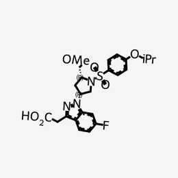 COC[C@H]1C[C@@H](n2nc(CC(=O)O)c3ccc(F)cc32)CN1S(=O)(=O)c1ccc(OC(C)C)cc1